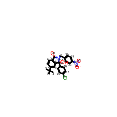 CC(C)(C)c1ccc2c(c1)C(O)(c1ccc(Cl)cc1)N(Cc1ccc([N+](=O)[O-])cc1)C2=O